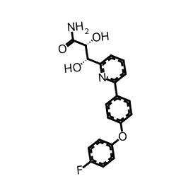 NC(=O)[C@H](O)[C@@H](O)c1cccc(-c2ccc(Oc3ccc(F)cc3)cc2)n1